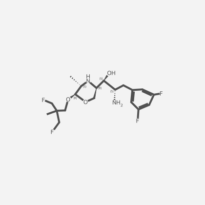 C[C@@H]1N[C@@H]([C@@H](O)[C@@H](N)Cc2cc(F)cc(F)c2)CO[C@H]1OCC(C)(CF)CF